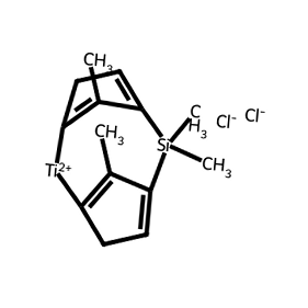 CC1=[C]2CC=C1[Si](C)(C)C1=CC[C](=C1C)[Ti+2]2.[Cl-].[Cl-]